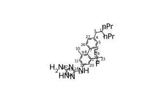 CCCC(CCC)Cc1ccc(-c2c(C)cc(Nc3n[nH]c(N)n3)cc2C(C)(F)F)cc1